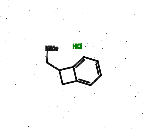 CNCC1Cc2ccccc21.Cl